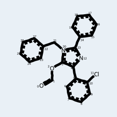 O=COc1c(-c2ccccc2Cl)nc(-c2ccccc2)n1Cc1ccccc1